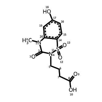 CN1C(=O)N(CCCC(=O)O)S(=O)(=O)c2ccc(O)cc21